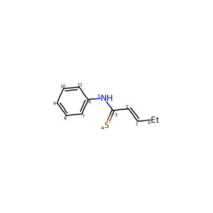 CCC=CC(=S)Nc1ccccc1